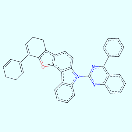 C1=CC(C2=CCCc3c2oc2c3ccc3c2c2ccccc2n3-c2nc(-c3ccccc3)c3ccccc3n2)=CCC1